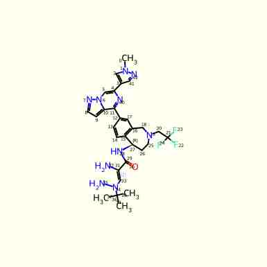 Cn1cc(-c2cn3nccc3c(-c3ccc4c(c3)CN(CC(F)(F)F)CC[C@H]4NC(=O)/C(N)=C/N(N)C(C)(C)C)n2)cn1